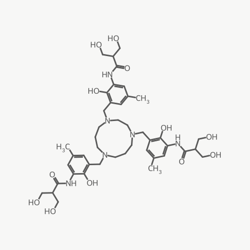 Cc1cc(CN2CCCN(Cc3cc(C)cc(NC(=O)C(CO)CO)c3O)CCN(Cc3cc(C)cc(NC(=O)C(CO)CO)c3O)CCC2)c(O)c(NC(=O)C(CO)CO)c1